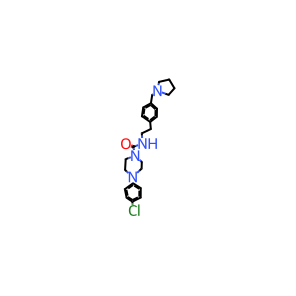 O=C(NCCc1ccc(CN2CCCC2)cc1)N1CCN(c2ccc(Cl)cc2)CC1